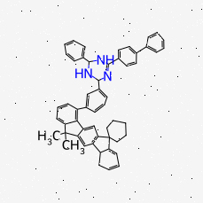 CC1(C)c2cc3c(cc2-c2c(-c4cccc(C5N=C(c6ccc(-c7ccccc7)cc6)NC(c6ccccc6)N5)c4)cccc21)C1(CCCCC1)C1=CC=CCC13